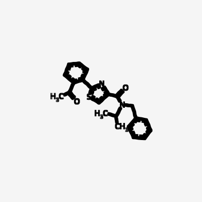 CC(=O)c1ccccc1-c1nc(C(=O)N(Cc2ccccc2)C(C)C)cs1